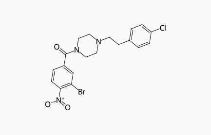 O=C(c1ccc([N+](=O)[O-])c(Br)c1)N1CCN(CCc2ccc(Cl)cc2)CC1